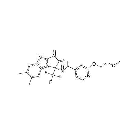 C=C(NC1(C(F)(F)F)C(=C)Nc2nc3cc(C)c(C)cc3n21)c1ccnc(OCCOC)c1